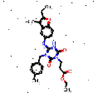 CCOC(=O)CCn1c(=O)[nH]/c(=N\c2ccc3oc(CC)c(C)c3c2)n(Cc2ccc(C)cc2)c1=O